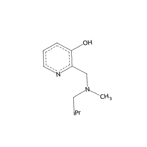 CC(C)CN(C)Cc1ncccc1O